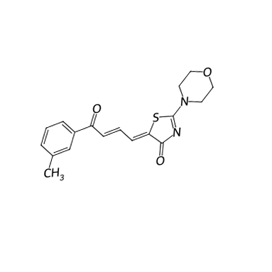 Cc1cccc(C(=O)C=CC=C2SC(N3CCOCC3)=NC2=O)c1